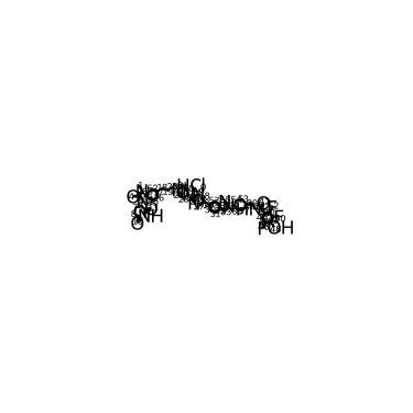 Cl.Cn1c(=O)n([C@@H]2CCC(=O)NC2=O)c2ccc(CCCN3CCN(c4ncc(-c5ccc6cn(C7CCC(CNC(=O)c8cc(F)c(O)c(F)c8F)CC7)nc6c5)cn4)CC3)cc21